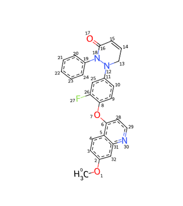 COc1ccc2c(Oc3ccc(N4CC=CC(=O)N4c4ccccc4)cc3F)ccnc2c1